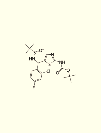 CC(C)(C)OC(=O)Nc1ncc(C(N[S@@+]([O-])C(C)(C)C)c2ccc(F)cc2Cl)s1